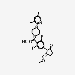 COC[C@H]1CCC(=O)N1c1cc(F)c(C(=O)N2CCN(c3ncc(C)cc3C)CC2)c(F)c1.Cl